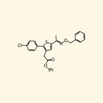 C/C(=N\OCc1ccccc1)c1cc(CC(=O)OC(C)C)c(-c2ccc(Cl)cc2)s1